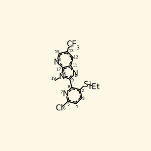 CCSc1ccc(Cl)nc1-c1nc2cc(C(F)(F)F)cnc2n1C